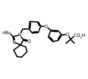 CCCCC1=NC2(CCCCC2)C(=O)N1Cc1ccc(Oc2cccc(OC(C)(C)C(=O)O)c2)cc1